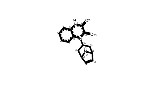 O=c1[nH]c2ccccc2n(C2CC3C=CC(C2)N3)c1=O